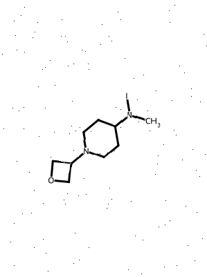 CN(I)C1CCN(C2COC2)CC1